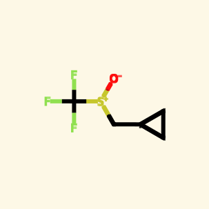 [O-][S+](C[C]1CC1)C(F)(F)F